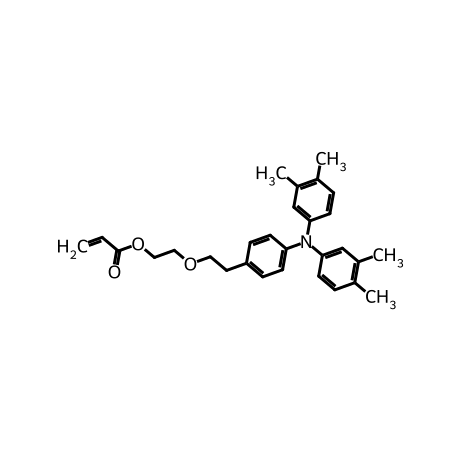 C=CC(=O)OCCOCCc1ccc(N(c2ccc(C)c(C)c2)c2ccc(C)c(C)c2)cc1